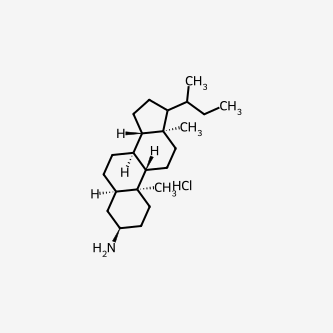 CCC(C)C1CC[C@H]2[C@@H]3CC[C@@H]4C[C@H](N)CC[C@]4(C)[C@H]3CC[C@]12C.Cl